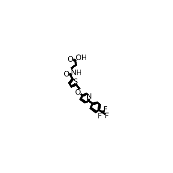 O=C(O)CCNC(=O)c1ccc(COc2ccc(-c3ccc(C(F)(F)F)cc3)nc2)s1